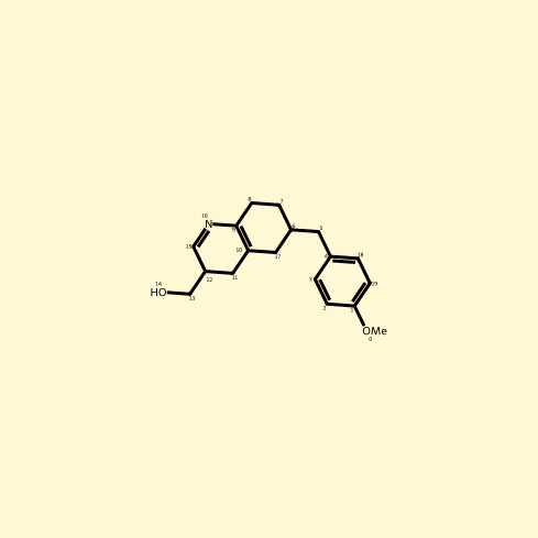 COc1ccc(CC2CCC3=C(CC(CO)C=N3)C2)cc1